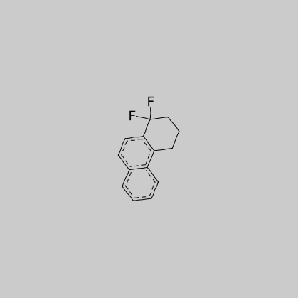 FC1(F)CCCc2c1ccc1ccccc21